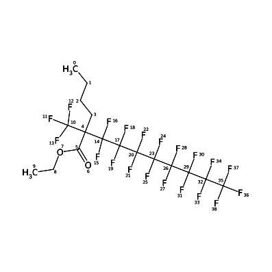 CCCCC(C(=O)OCC)(C(F)(F)F)C(F)(F)C(F)(F)C(F)(F)C(F)(F)C(F)(F)C(F)(F)C(F)(F)C(F)(F)F